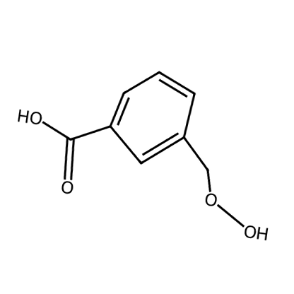 O=C(O)c1cccc(COO)c1